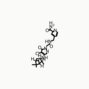 C[C@@H]1[C@H]2C[C@@H](C[C@H]1Nc1cnn(CC(=O)NCc3ccnc(C(N)=O)c3)c(=O)c1Cl)C2(C)C